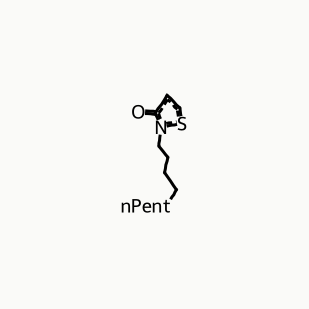 CCCCCCCCCn1sccc1=O